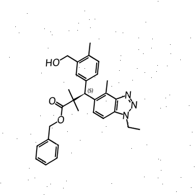 CCn1nnc2c(C)c([C@H](c3ccc(C)c(CO)c3)C(C)(C)C(=O)OCc3ccccc3)ccc21